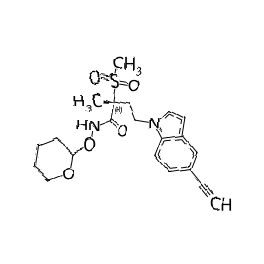 C#Cc1ccc2c(ccn2CC[C@](C)(C(=O)NOC2CCCCO2)S(C)(=O)=O)c1